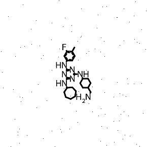 Cc1ccc(Nc2nc(NC3CCCCCC3)nc(NC3CCC(CN)CC3)n2)cc1F